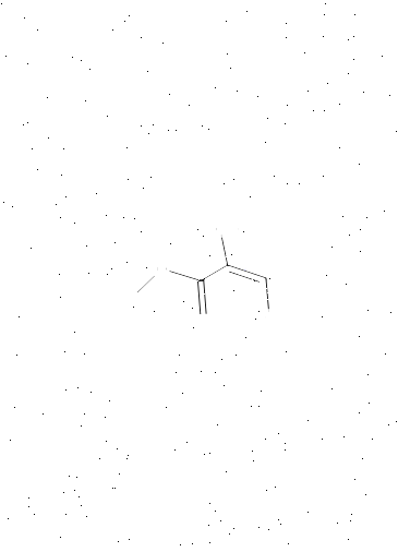 CCOC(=O)/C(C=O)=C\Cl